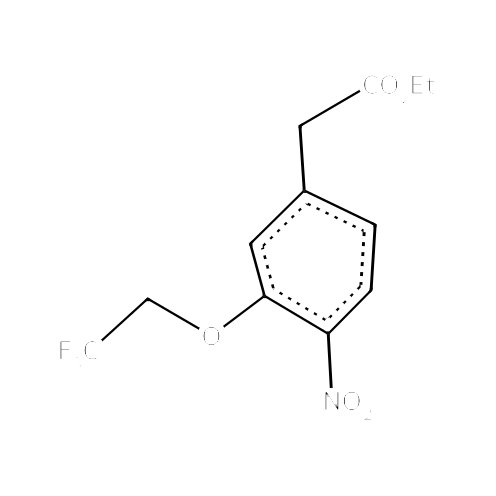 CCOC(=O)Cc1ccc([N+](=O)[O-])c(OCC(F)(F)F)c1